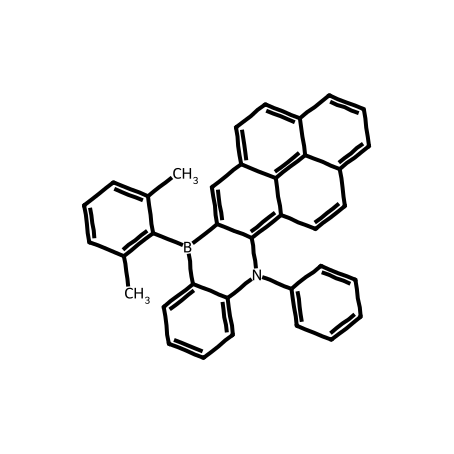 Cc1cccc(C)c1B1c2ccccc2N(c2ccccc2)c2c1cc1ccc3cccc4ccc2c1c34